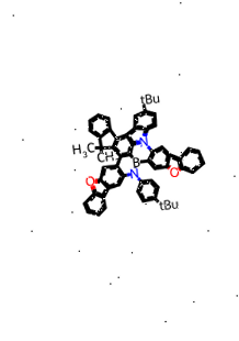 CC(C)(C)c1ccc(N2B3c4cc5oc6ccccc6c5cc4-n4c5ccc(C(C)(C)C)cc5c5c6c(c(c3c54)-c3cc4oc5ccccc5c4cc32)C(C)(C)c2ccccc2-6)cc1